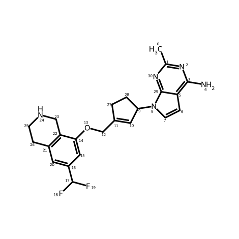 Cc1nc(N)c2ccn(C3C=C(COc4cc(C(F)F)cc5c4CNCC5)CC3)c2n1